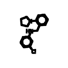 Clc1cccc(NCc2ccccc2N2CCCC2)c1